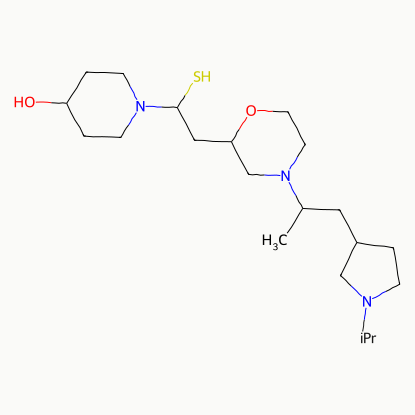 CC(C)N1CCC(CC(C)N2CCOC(CC(S)N3CCC(O)CC3)C2)C1